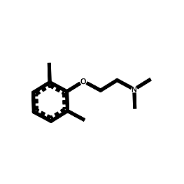 Cc1cccc(C)c1OCCN(C)C